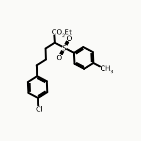 CCOC(=O)C(CCCc1ccc(Cl)cc1)S(=O)(=O)c1ccc(C)cc1